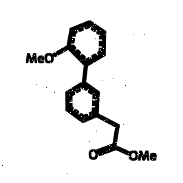 COC(=O)Cc1cccc(-c2ccccc2OC)c1